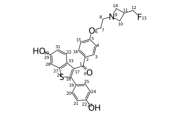 O=C(c1ccc(OCCN2CC(CF)C2)cc1)c1c(-c2ccc(O)cc2)sc2cc(O)ccc12